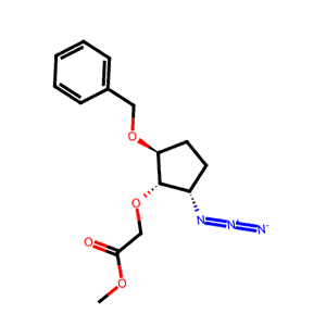 COC(=O)CO[C@H]1[C@@H](N=[N+]=[N-])CC[C@@H]1OCc1ccccc1